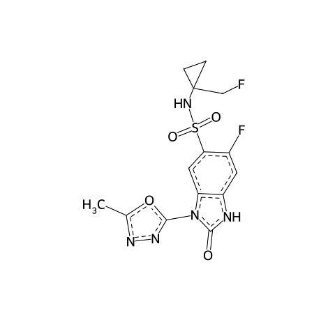 Cc1nnc(-n2c(=O)[nH]c3cc(F)c(S(=O)(=O)NC4(CF)CC4)cc32)o1